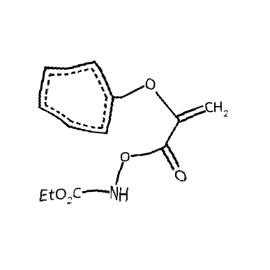 C=C(Oc1ccccc1)C(=O)ONC(=O)OCC